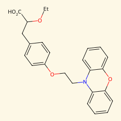 CCOC(Cc1ccc(OCCN2c3ccccc3Oc3ccccc32)cc1)C(=O)O